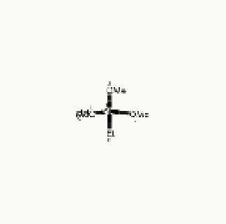 CC[Si](OC)(OC)OC.[HH]